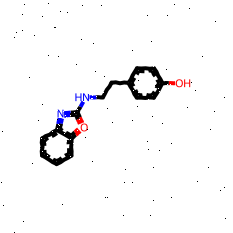 Oc1ccc(CCNc2nc3ccccc3o2)cc1